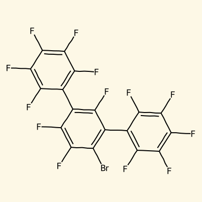 Fc1c(F)c(F)c(-c2c(F)c(F)c(Br)c(-c3c(F)c(F)c(F)c(F)c3F)c2F)c(F)c1F